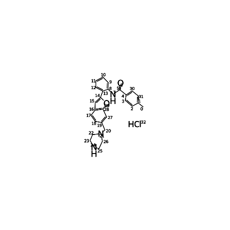 Cc1ccc(C(=O)Nc2ccccc2-c2cc3ccc(CN4CCNCC4)cc3o2)cc1.Cl